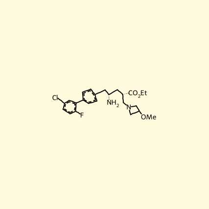 CCOC(=O)[C@@H](C[C@H](N)Cc1ccc(-c2cc(Cl)ccc2F)cc1)CN1CC(OC)C1